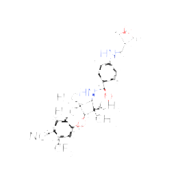 CC1(C)C(NC(=O)c2ccc(NCC3COC3)cc2)C(C)(C)C1Oc1ccc(C#N)c(C(F)(F)F)c1